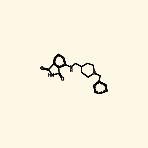 O=C1NC(=O)c2c(NCC3CCN(Cc4ccccc4)CC3)cccc21